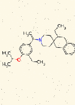 C=C(c1ccc(OC(C)C)c(CC)c1)N1CCC2(CC1)Cc1ccccc1CC2CC